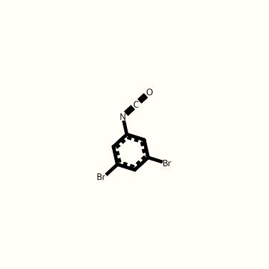 O=C=Nc1cc(Br)cc(Br)c1